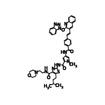 CC(C)CCc1sc(NC(=O)c2cc(NC(=O)c3ccc(/C=C/c4cc5ccccc5nc4On4nnc5ccccc54)cc3)cn2C)nc1C(=O)NCCN1CCOCC1